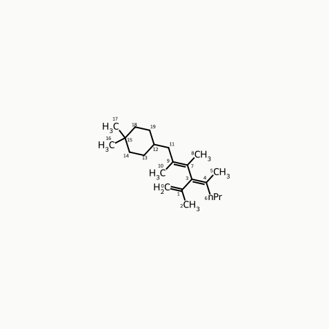 C=C(C)C(=C(/C)CCC)/C(C)=C(\C)CC1CCC(C)(C)CC1